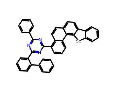 c1ccc(-c2nc(-c3ccccc3-c3ccccc3)nc(-c3cccc4c3ccc3ccc5c6ccccc6[se]c5c34)n2)cc1